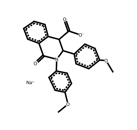 COc1ccc(C2C(C(=O)[O-])c3ccccc3C(=O)N2c2ccc(OC)cc2)cc1.[Na+]